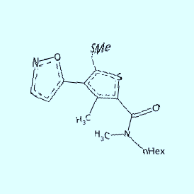 CCCCCCN(C)C(=O)c1sc(SC)c(-c2ccno2)c1C